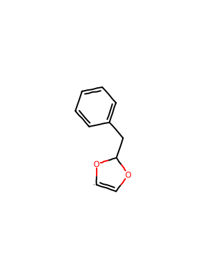 [C]1=COC(Cc2ccccc2)O1